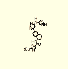 CC(C)(C)c1ncc(C(=O)NC2CCCc3cc(-c4cc(Nc5cn[nH]c5)ncn4)ccc32)s1